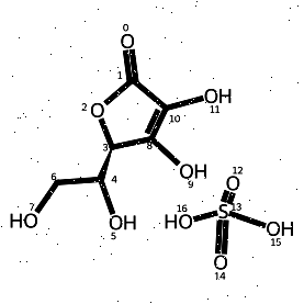 O=C1O[C@H](C(O)CO)C(O)=C1O.O=S(=O)(O)O